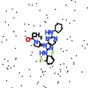 CC(=O)N1CC[C@H](n2c(Nc3c(F)cccc3F)nc3cnc(NC4CCCCC4)nc32)C1